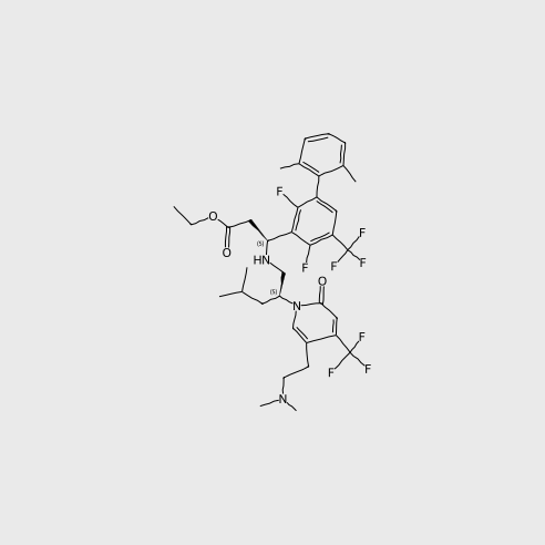 CCOC(=O)C[C@H](NC[C@H](CC(C)C)n1cc(CCN(C)C)c(C(F)(F)F)cc1=O)c1c(F)c(-c2c(C)cccc2C)cc(C(F)(F)F)c1F